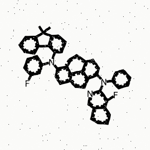 CC1(C)c2ccccc2-c2c(N(c3cccc(F)c3)c3ccc4ccc5c(N(c6ccccc6)c6ncc7ccccc7c6F)ccc6ccc3c4c65)cccc21